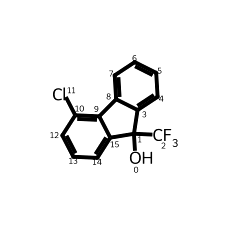 OC1(C(F)(F)F)c2ccccc2-c2c(Cl)cccc21